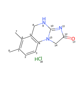 Cc1ccc2c(c1C)CNC1=NC(=O)CN12.Cl